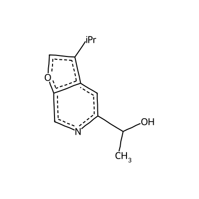 CC(C)c1coc2cnc(C(C)O)cc12